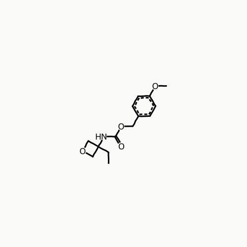 CCC1(NC(=O)OCc2ccc(OC)cc2)COC1